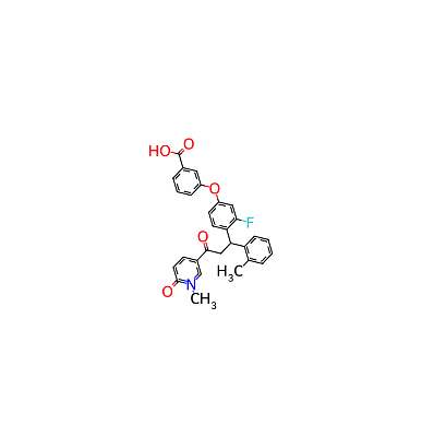 Cc1ccccc1C(CC(=O)c1ccc(=O)n(C)c1)c1ccc(Oc2cccc(C(=O)O)c2)cc1F